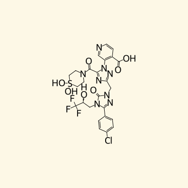 O=C(O)c1ccncc1-n1nc(Cn2nc(-c3ccc(Cl)cc3)n(C[C@H](O)C(F)(F)F)c2=O)nc1C(=O)N1CCS(O)(O)CC1